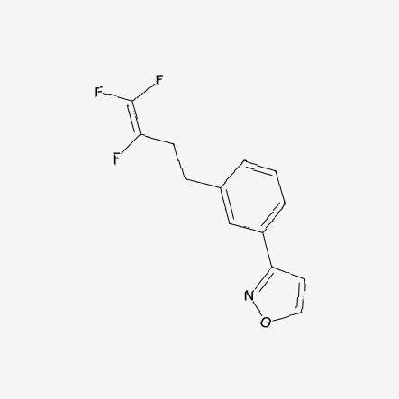 FC(F)=C(F)CCc1cccc(-c2ccon2)c1